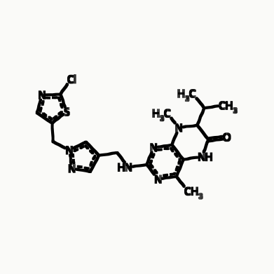 Cc1nc(NCc2cnn(Cc3cnc(Cl)s3)c2)nc2c1NC(=O)C(C(C)C)N2C